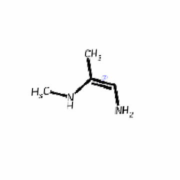 CN/C(C)=C\N